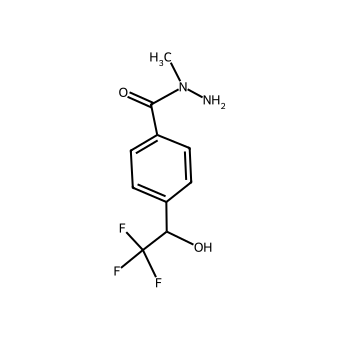 CN(N)C(=O)c1ccc(C(O)C(F)(F)F)cc1